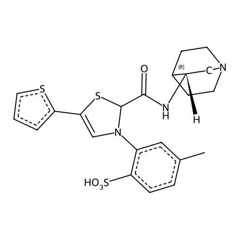 Cc1ccc(S(=O)(=O)O)c(N2C=C(c3cccs3)SC2C(=O)N[C@H]2CN3CCC2CC3)c1